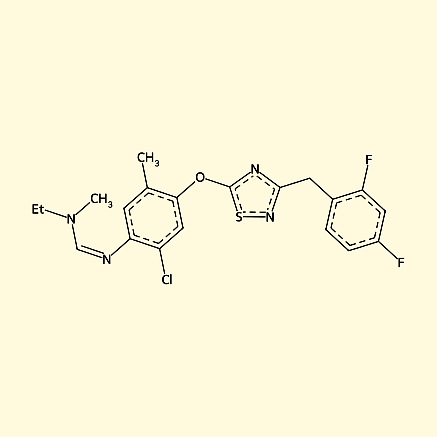 CCN(C)/C=N\c1cc(C)c(Oc2nc(Cc3ccc(F)cc3F)ns2)cc1Cl